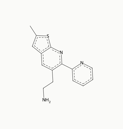 Cc1cc2cc(CCN)c(-c3ccccn3)nc2s1